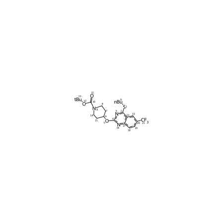 CCCCSc1nc(OC2CCN(C(=O)OC(C)(C)C)CC2)nc2ccc(C(F)(F)F)cc12